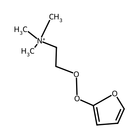 C[N+](C)(C)CCOOc1ccco1